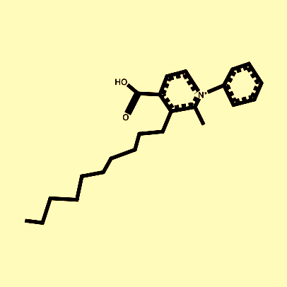 CCCCCCCCCCc1c(C(=O)O)cc[n+](-c2ccccc2)c1C